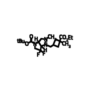 CCOC(=O)C1(C)CC(CN2[C@H]3[C@@H](CN2C)N(C(=O)OC(C)(C)C)CC3(F)F)C1